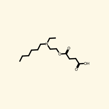 CCCCCCN(CC)CCOC(=O)CCC(=O)O